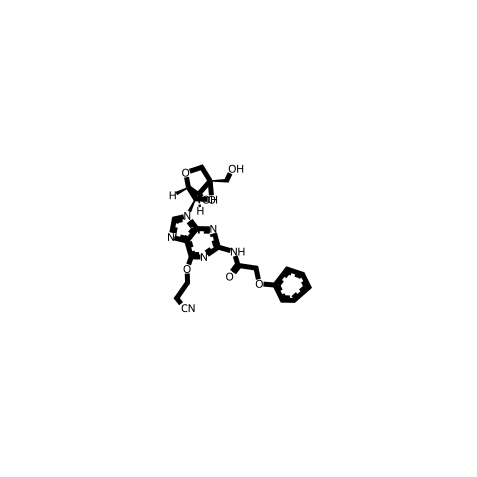 N#CCCOc1nc(NC(=O)COc2ccccc2)nc2c1ncn2[C@@H]1O[C@@]2(CO)CO[C@@H]1[C@@H]2O